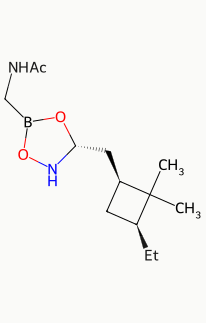 CC[C@H]1C[C@@H](C[C@@H]2NOB(CNC(C)=O)O2)C1(C)C